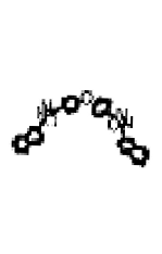 c1ccc2cc(-c3nnc(-c4ccc(Oc5ccc(-c6nnc(-c7ccc8ccccc8c7)o6)cc5)cc4)o3)ccc2c1